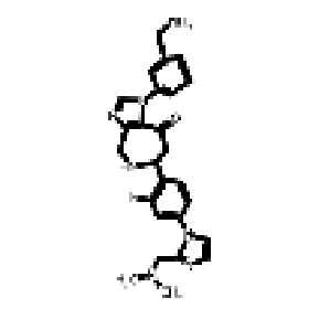 CN(C)Cc1nccn1-c1ccc(C2CC(=O)c3c(ncn3-c3cccc(CN)c3)CN2)c(F)c1